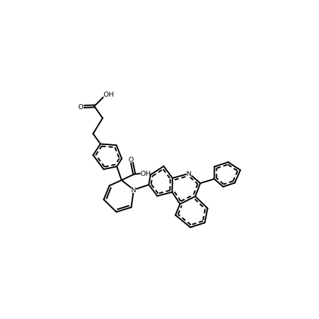 O=C(O)CCc1ccc(C2(C(=O)O)C=CC=CN2c2ccc3nc(-c4ccccc4)c4ccccc4c3c2)cc1